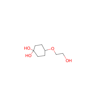 OCCOC1CCC(O)(O)CC1